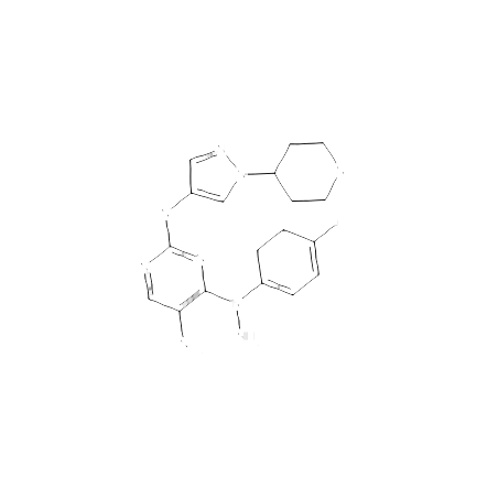 CCCC1=CC=C(N(N)c2nc(Nc3cnn(C4CCNCC4)c3)ncc2N)CC1